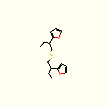 CCC(CSSCC(CC)c1ccco1)c1ccco1